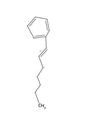 CCCC[CH]/C=C/c1ccccc1